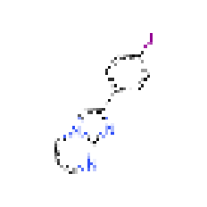 Ic1ccc(-c2cn3cccnc3n2)cc1